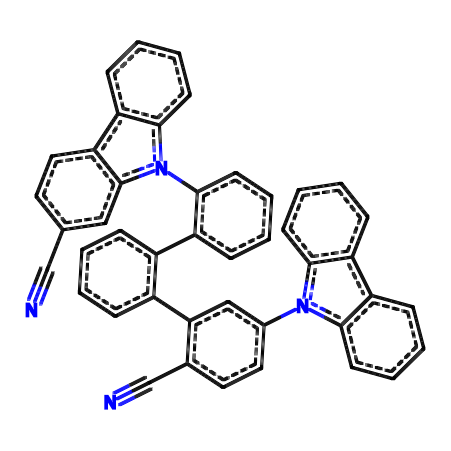 N#Cc1ccc2c3ccccc3n(-c3ccccc3-c3ccccc3-c3cc(-n4c5ccccc5c5ccccc54)ccc3C#N)c2c1